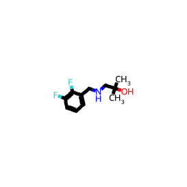 CC(C)(O)CNCc1cccc(F)c1F